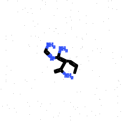 C=C(N)C(/C=C\C)=C(N)\N=C/N